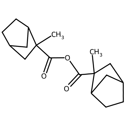 CC1(C(=O)OC(=O)C2(C)CC3CCC2C3)CC2CCC1C2